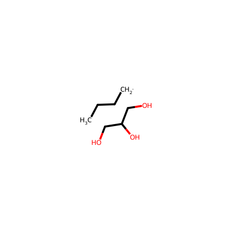 OCC(O)CO.[CH2]CCC